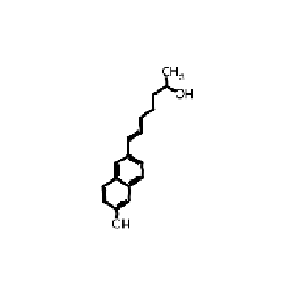 CC(O)CCC/C=C/c1ccc2cc(O)ccc2c1